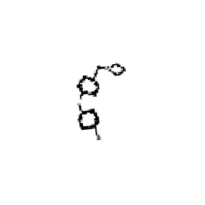 Brc1ccc(Oc2ccc(CN3CCC3)cc2)cc1